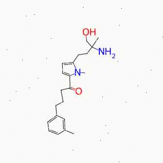 Cc1cccc(CCCC(=O)c2ccc(CCC(C)(N)CO)n2C)c1